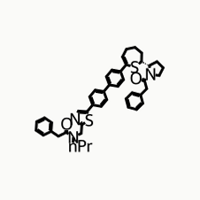 CCCN(Cc1ncc(-c2ccc(-c3ccc(C4=CCCCC([C@@H]5CCCN5C(=O)Cc5ccccc5)S4)cc3)cc2)s1)C(=O)Cc1ccccc1